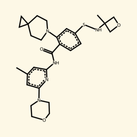 Cc1cc(NC(=O)c2ccc(SNC3(C)COC3)cc2N2CCC3(CC2)CC3)nc(N2CCOCC2)c1